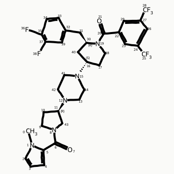 Cn1cccc1C(=O)N1CC[C@@H](N2CCN([C@H]3CCN(C(=O)c4cc(C(F)(F)F)cc(C(F)(F)F)c4)[C@H](Cc4ccc(F)c(F)c4)C3)CC2)C1